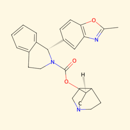 Cc1nc2cc([C@H]3c4ccccc4CCN3C(=O)O[C@@H]3CN4CCC3CC4)ccc2o1